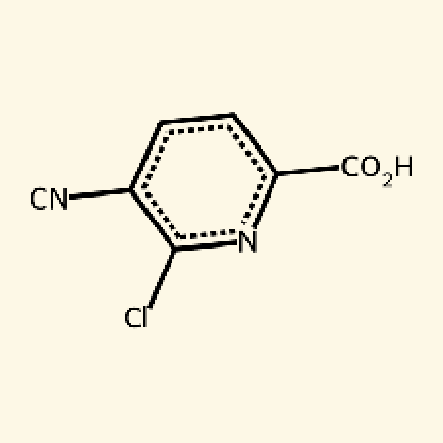 [C-]#[N+]c1ccc(C(=O)O)nc1Cl